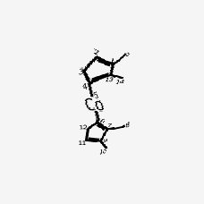 CC1=CC[C]([Co][C]2=C(C)C(C)=CC2)=C1C